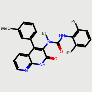 CCN(C(=O)Nc1c(C(C)C)cccc1C(C)C)c1c(-c2cccc(OC)c2)c2cccnc2[nH]c1=O